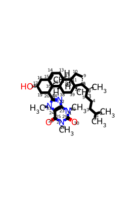 CC(C)CCC[C@@H](C)[C@H]1CC[C@H]2[C@@H]3CC=C4C[C@@H](O)CC(c5nc6c(c(=O)n(C)c(=O)n6C)n5C)[C@]4(C)[C@H]3CC[C@]12C